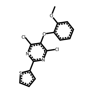 COc1ccccc1Oc1c(Cl)nc(-c2cccs2)nc1Cl